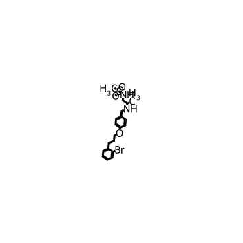 CC(CNS(C)(=O)=O)NCc1ccc(OCCCc2ccccc2Br)cc1